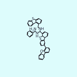 NC(NC(NCc1cccc2sc3ccccc3c12)C1=CC=CC2c3cc(-c4cccc5c4oc4ccccc45)ccc3SC12)c1ccccc1